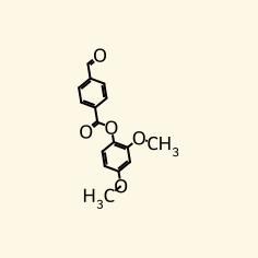 COc1ccc(OC(=O)c2ccc(C=O)cc2)c(OC)c1